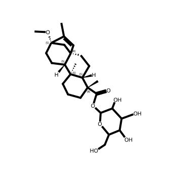 CO[C@]12CC[C@@H]3[C@@](C=C1C)(CC[C@H]1[C@@]3(C)CCC[C@@]1(C)C(=O)OC1OC(CO)C(O)C(O)C1O)C2